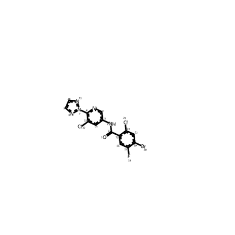 O=C(Nc1cnc(-n2nccn2)c(Cl)c1)c1cc(F)c(Br)cc1Cl